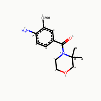 COc1cc(C(=O)N2CCOCC2(C)C)ccc1N